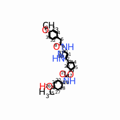 COc1ccc(CC(=O)Nc2cc([C@H]3CC[C@@H](OC(=O)N[C@H]4CC[C@](C)(O)CC4)C3)[nH]n2)cc1